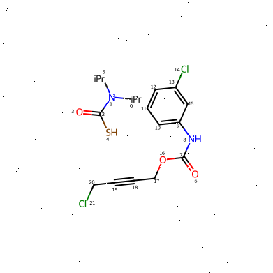 CC(C)N(C(=O)S)C(C)C.O=C(Nc1cccc(Cl)c1)OCC#CCCl